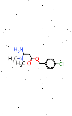 CN(C)C(N)=CC(=O)OCc1ccc(Cl)cc1